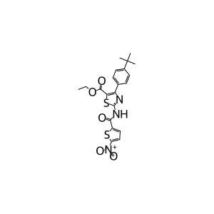 CCOC(=O)c1sc(NC(=O)c2ccc([N+](=O)[O-])s2)nc1-c1ccc(C(C)(C)C)cc1